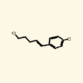 [O]CCCC=Cc1ccc(Cl)cc1